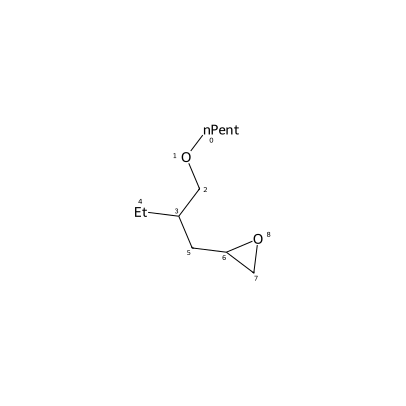 [CH2]CCCCOCC(CC)CC1CO1